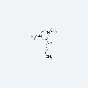 CCCCNC1CN(C)CCN(C)C1